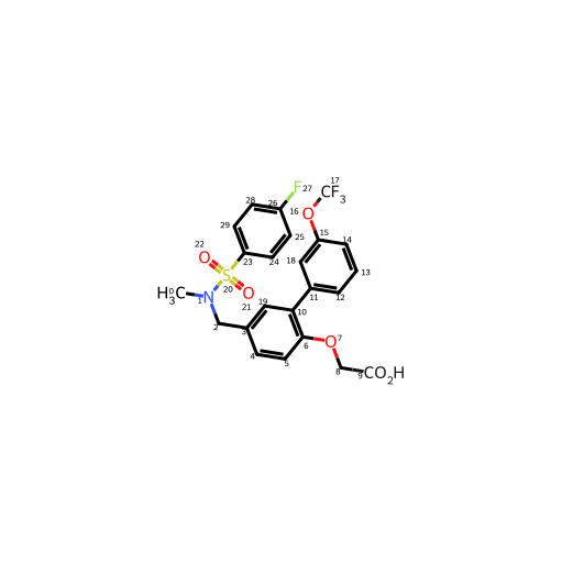 CN(Cc1ccc(OCC(=O)O)c(-c2cccc(OC(F)(F)F)c2)c1)S(=O)(=O)c1ccc(F)cc1